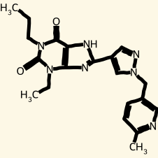 CCCn1c(=O)c2[nH]c(-c3cnn(Cc4ccc(C)nc4)c3)nc2n(CC)c1=O